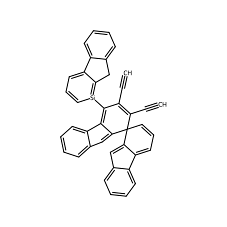 C#CC1=C(C#C)C2(C=CC=C3C2=Cc2ccccc23)C2=Cc3ccccc3C2=C1[si]1cccc2c1Cc1ccccc1-2